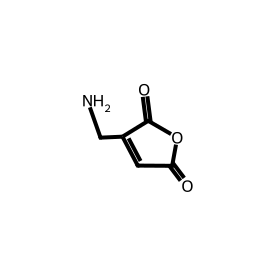 NCC1=CC(=O)OC1=O